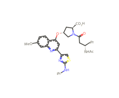 COc1ccc2c(O[C@@H]3C[C@@H](C(=O)O)N(C(=O)C[C@@H](NC(C)=O)C(C)C)C3)cc(-c3csc(NC(C)C)n3)nc2c1